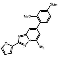 COc1ccc(-c2cc(N)n3nc(-c4ccco4)nc3c2)c(OC)c1